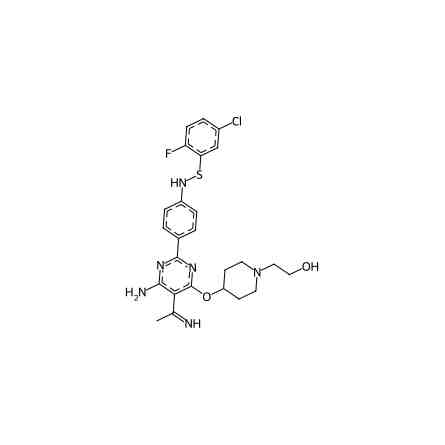 CC(=N)c1c(N)nc(-c2ccc(NSc3cc(Cl)ccc3F)cc2)nc1OC1CCN(CCO)CC1